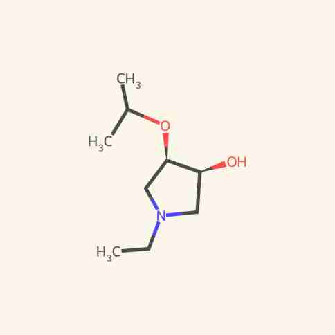 CCN1C[C@H](O)[C@H](OC(C)C)C1